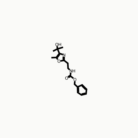 Cc1oc(CCNC(=O)OCc2ccccc2)nc1C(C)(C)O